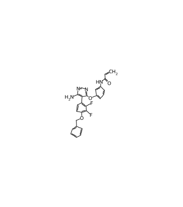 C=CC(=O)Nc1cccc(Oc2ncnc(N)c2-c2ccc(OCc3ccccc3)c(F)c2F)c1